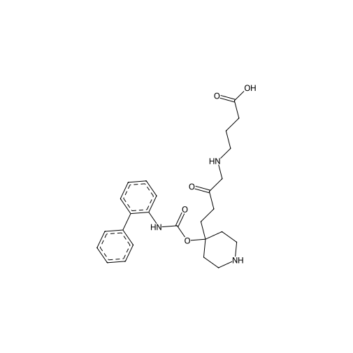 O=C(O)CCCNCC(=O)CCC1(OC(=O)Nc2ccccc2-c2ccccc2)CCNCC1